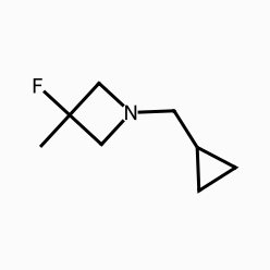 CC1(F)CN(CC2CC2)C1